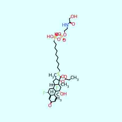 CCC(=O)O[C@]1(C(=O)SCCCCCCCCCCP(=O)(O)OP(=O)(O)OCCNC(=O)CO)[C@H](C)C[C@H]2[C@@H]3C[C@H](F)C4=CC(=O)C=C[C@]4(C)[C@@]3(F)[C@@H](O)C[C@@]21C